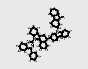 CC1c2ccccc2-c2ccc(-n3c4ccccc4c4ccc(-c5cc6c7ccccc7n(-c7nc(-c8ccccc8)c8ccccc8n7)c6c6ccccc56)cc43)cc21